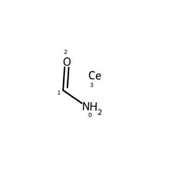 NC=O.[Ce]